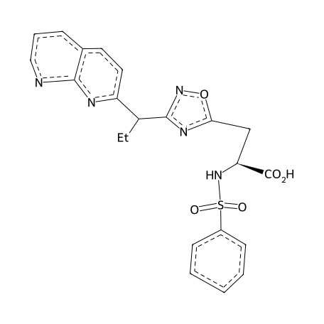 CCC(c1ccc2cccnc2n1)c1noc(C[C@H](NS(=O)(=O)c2ccccc2)C(=O)O)n1